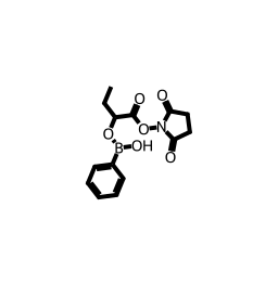 CCC(OB(O)c1ccccc1)C(=O)ON1C(=O)CCC1=O